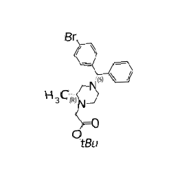 C[C@@H]1CN([C@@H](c2ccccc2)c2ccc(Br)cc2)CCN1CC(=O)OC(C)(C)C